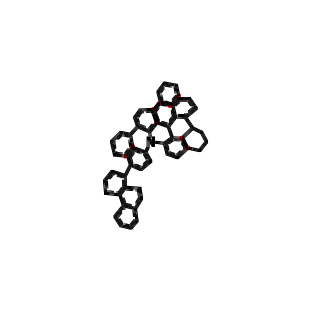 c1ccc(-c2ccc(-c3ccccc3)c(N(c3ccc(-c4cccc5c4ccc4ccccc45)cc3)c3ccccc3-c3cccc4cccc(C5CCCCC5)c34)c2)cc1